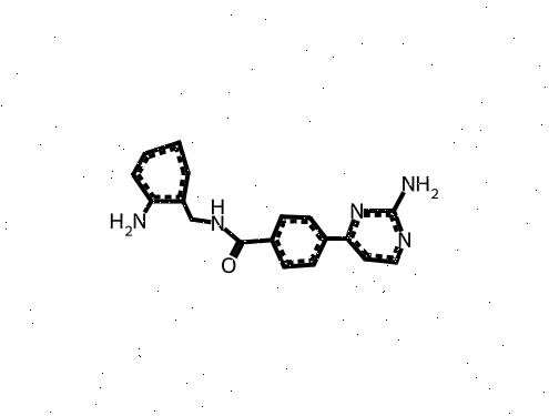 Nc1nccc(-c2ccc(C(=O)NCc3ccccc3N)cc2)n1